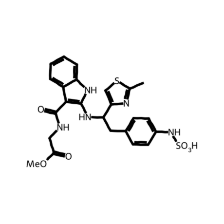 COC(=O)CNC(=O)c1c(NC(Cc2ccc(NS(=O)(=O)O)cc2)c2csc(C)n2)[nH]c2ccccc12